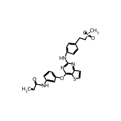 C=CC(=O)Nc1cccc(Oc2nc(Nc3ccc(CCS(C)(=O)=O)cc3)nc3ccsc23)c1